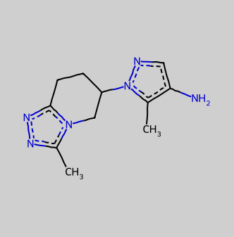 Cc1c(N)cnn1C1CCc2nnc(C)n2C1